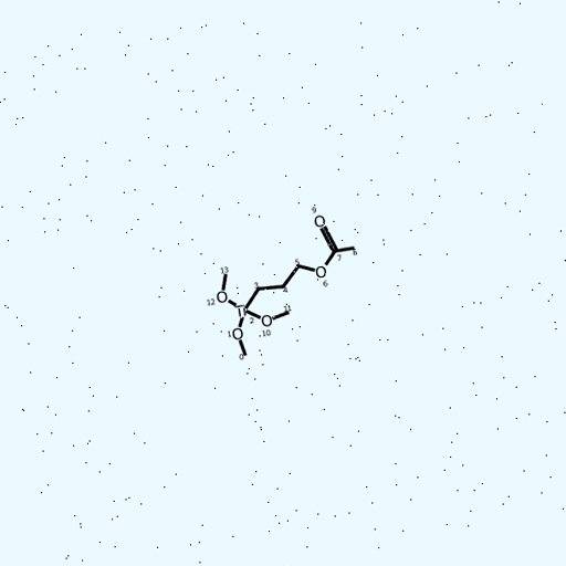 C[O][Ti]([CH2]CCOC(C)=O)([O]C)[O]C